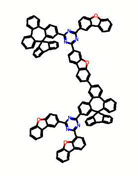 c1ccc2c(c1)-c1ccccc1C1(c3cc(-c4nc(-c5ccc6c(c5)oc5cc(-c7ccc8c(c7)-c7ccc(-c9nc(-c%10ccc%11oc%12ccccc%12c%11c%10)nc(-c%10cccc%11c%10oc%10ccccc%10%11)n9)cc7C7(c9ccccc9-8)c8ccccc8-c8ccccc87)ccc56)nc(-c5ccc6oc7ccccc7c6c5)n4)ccc3-2)c2ccccc2-c2ccccc21